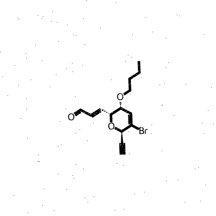 C#C[C@H]1O[C@H](/C=C/C=O)[C@H](OCCCC)C=C1Br